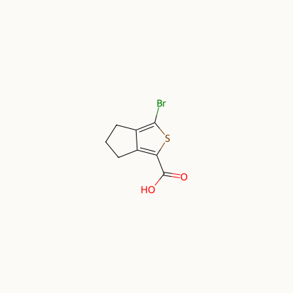 O=C(O)c1sc(Br)c2c1CCC2